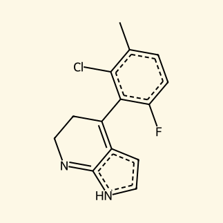 Cc1ccc(F)c(C2=c3cc[nH]c3=NCC2)c1Cl